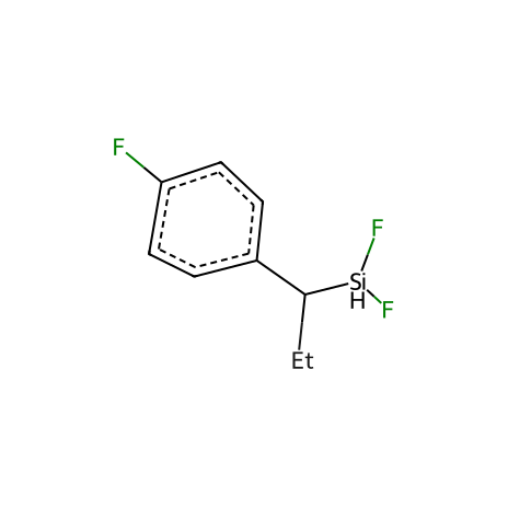 CCC(c1ccc(F)cc1)[SiH](F)F